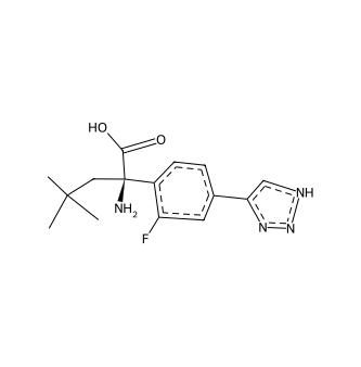 CC(C)(C)C[C@](N)(C(=O)O)c1ccc(-c2c[nH]nn2)cc1F